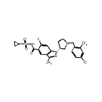 Cc1nn([C@@H]2CCN(Cc3ccc(Cl)cc3C(F)(F)F)C2)c2cc(F)c(C(=O)NS(=O)(=O)C3CC3)cc12